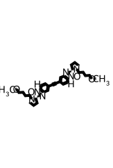 COCCCC(=O)N1CCC[C@H]1c1nc2cc(C#Cc3ccc4[nH]c([C@@H]5CCCN5C(=O)CCCOC)nc4c3)ccc2[nH]1